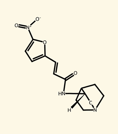 O=C(/C=C/c1ccc([N+](=O)[O-])o1)N[C@H]1CN2CCC1CC2